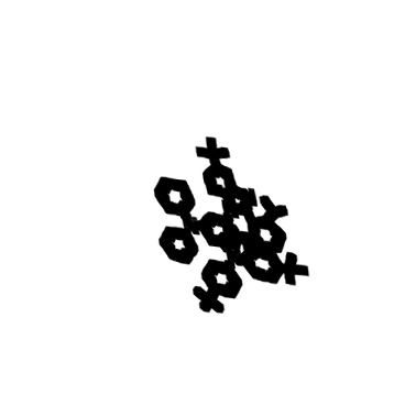 CC(C)c1cccc(C(C)C)c1-c1nc2cc(C(C)(C)C)ccc2n1-c1cc(N(c2ccccc2)c2ccccc2)cc(N(c2ccc(C(C)(C)C)cc2)c2ccc(C(C)(C)C)cc2)c1Br